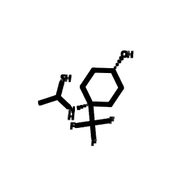 CC(S)N[C@]1(C(F)(F)F)CC[C@H](O)CC1